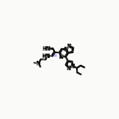 CCC(CC)n1cc(-c2nc(/C(C=N)=C/NCCN(C)C)cn3nccc23)cn1